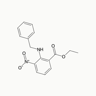 CCOC(=O)c1cccc([N+](=O)[O-])c1NCc1ccccc1